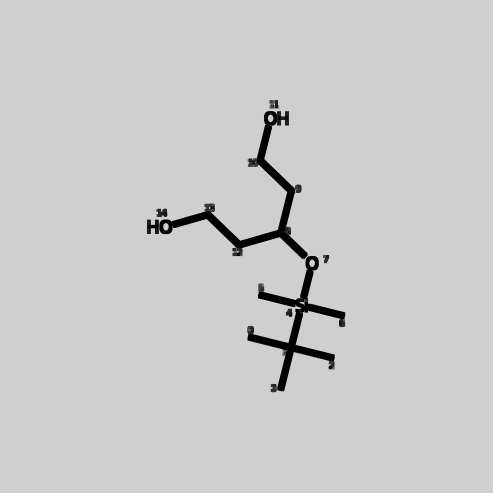 CC(C)(C)[Si](C)(C)OC(CCO)CCO